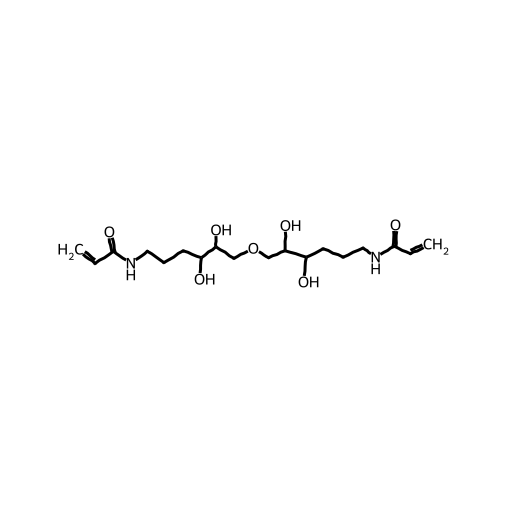 C=CC(=O)NCCCC(O)C(O)COCC(O)C(O)CCCNC(=O)C=C